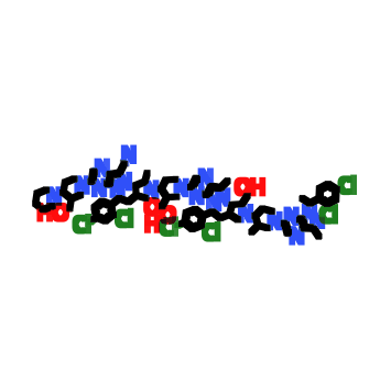 Cc1nn(C(C)c2ccc(Cl)cc2Cl)c2nc(N3CCC(N4CC(CC(c5ccc(Cl)cc5Cl)n5nc(C)c6ncc(N7CCC(N8CC(CC(c9ccc(Cl)cc9Cl)n9nc(C#N)c%10ncc(N%11CCC(N%12CCCCC%12)C(CO)C%11)nc%109)CC8C)C(C(=O)O)C7)nc65)CC4CO)C(C)C3)cnc12